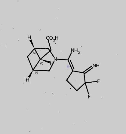 N=C1/C(=C(\N)N2C[C@H]3C[C@@H](C2)[C@H]3CC(=O)O)CCC1(F)F